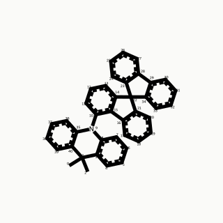 CC1(C)c2ccccc2N(c2cccc3c2-c2ccccc2C32c3ccccc3-c3ccccc32)c2ccccc21